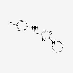 Fc1ccc(NCc2csc(N3CCCCC3)n2)cc1